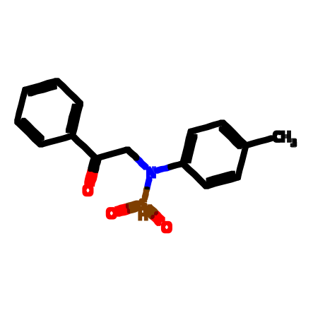 Cc1ccc(N(CC(=O)c2ccccc2)[SH](=O)=O)cc1